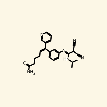 CC(C)NC(=Nc1cccc(/C(=C\CCCC(N)=O)c2cccnc2)c1)C(C#N)C#N